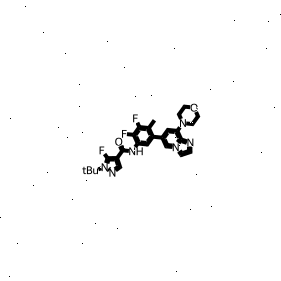 Cc1c(-c2cc(N3CCOCC3)c3nccn3c2)cc(NC(=O)c2cnn(C(C)(C)C)c2F)c(F)c1F